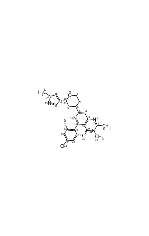 Cc1nc2cc(C3CCO[C@@H](c4cnn(C)c4)C3)nc(-c3ccc(Cl)cc3F)c2c(=O)n1C